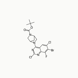 CC(C)(C)OC(=O)N1CC2CC1CN2c1nc(Cl)nc2c(F)c(Br)c(Cl)cc12